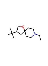 CCN1CCC2(CC1)CC(C(C)(C)C)CO2